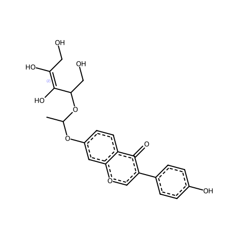 CC(Oc1ccc2c(=O)c(-c3ccc(O)cc3)coc2c1)OC(CO)/C(O)=C(/O)CO